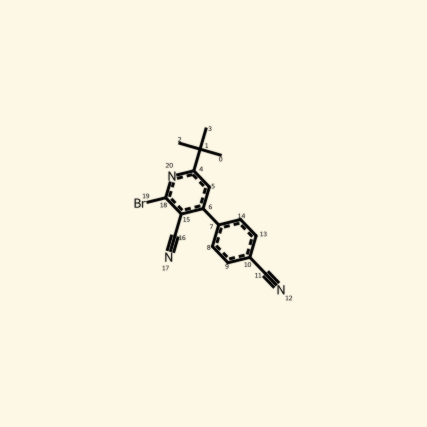 CC(C)(C)c1cc(-c2ccc(C#N)cc2)c(C#N)c(Br)n1